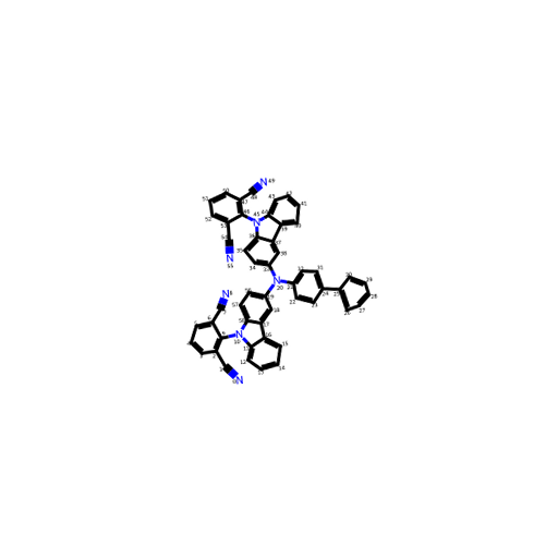 N#Cc1cccc(C#N)c1-n1c2ccccc2c2cc(N(c3ccc(-c4ccccc4)cc3)c3ccc4c(c3)c3ccccc3n4-c3c(C#N)cccc3C#N)ccc21